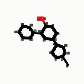 Cc1ccc(-c2ccc(O)c(-c3ccccc3)c2)cc1